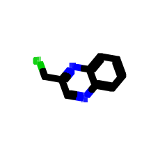 ClCc1cnc2ccccc2n1